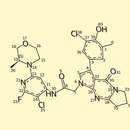 Cc1cc(-c2cn(CC(=O)Nc3cc(N4CCOC[C@@H]4C)nc(F)c3Cl)c3nc4n(c(=O)c23)CCC4)cc(Cl)c1O